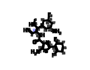 CN/C(=C(\C=N)NC(=O)c1nc(-c2c(F)cccc2F)sc1N)N1C[C@@H](N)C[C@H](F)C1